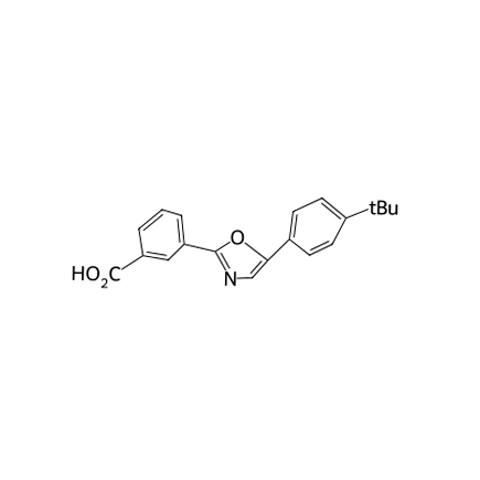 CC(C)(C)c1ccc(-c2cnc(-c3cccc(C(=O)O)c3)o2)cc1